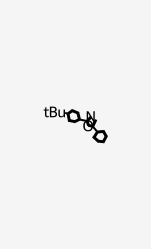 CC(C)(C)c1ccc(-c2ncc(-c3ccccc3)o2)cc1